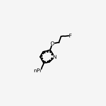 CCCc1ccc(OCCF)nc1